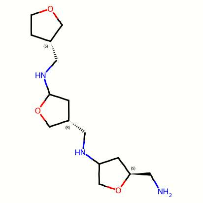 NC[C@@H]1CC(NC[C@@H]2COC(NC[C@@H]3CCOC3)C2)CO1